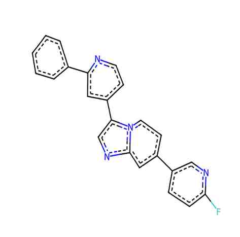 Fc1ccc(-c2ccn3c(-c4ccnc(-c5ccccc5)c4)cnc3c2)cn1